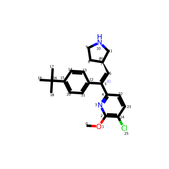 COc1nc(/C(=C/[C@H]2CCNC2)c2ccc(C(C)(C)C)cc2)ccc1Cl